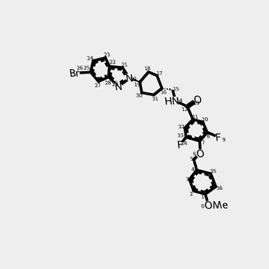 COc1ccc(COc2c(F)cc(C(=O)NC[C@H]3CC[C@H](n4cc5ccc(Br)cc5n4)CC3)cc2F)cc1